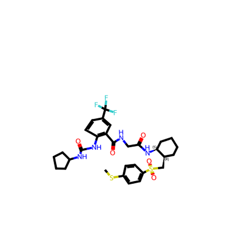 CSc1ccc(S(=O)(=O)C[C@@H]2CCCC[C@@H]2NC(=O)CNC(=O)c2cc(C(F)(F)F)ccc2NC(=O)NC2CCCC2)cc1